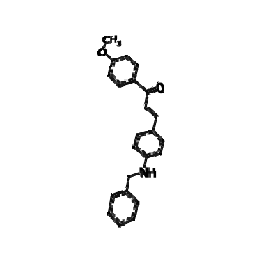 COc1ccc(C(=O)C=Cc2ccc(NCc3ccccc3)cc2)cc1